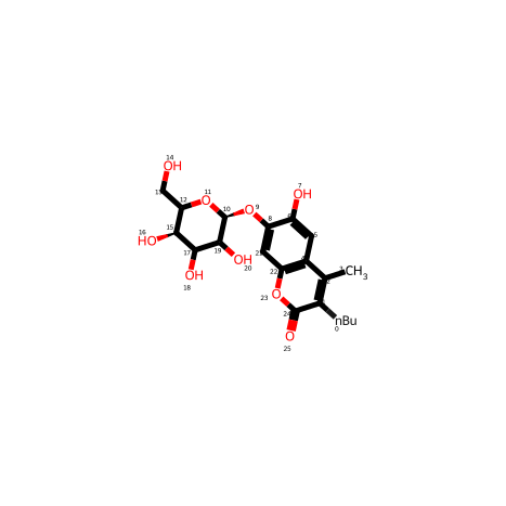 CCCCc1c(C)c2cc(O)c(O[C@@H]3OC(CO)[C@H](O)C(O)C3O)cc2oc1=O